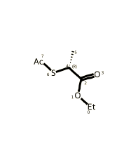 CCOC(=O)[C@@H](C)SC(C)=O